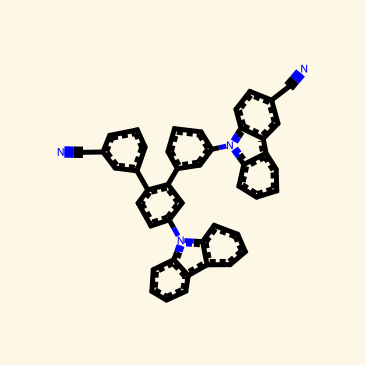 N#Cc1cccc(-c2ccc(-n3c4ccccc4c4ccccc43)cc2-c2cccc(-n3c4ccccc4c4cc(C#N)ccc43)c2)c1